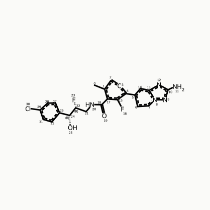 Cc1ccc(-c2ccn3nc(N)nc3c2)c(F)c1C(=O)NC[C@@H](F)[C@H](O)c1ccc(Cl)cc1